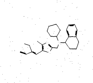 C=C/C(=C/c1[nH]c(CN(C2CCCCC2)C2CCCc3ccccc32)nc1C)CC